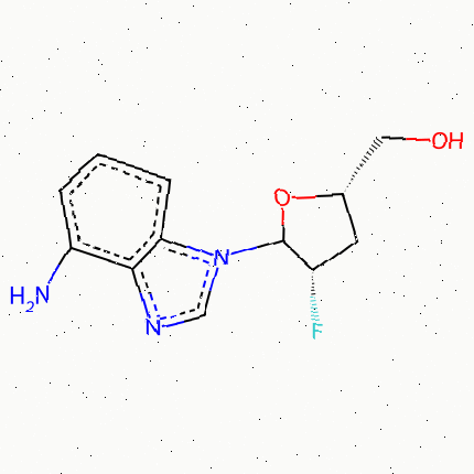 Nc1cccc2c1ncn2C1O[C@H](CO)C[C@@H]1F